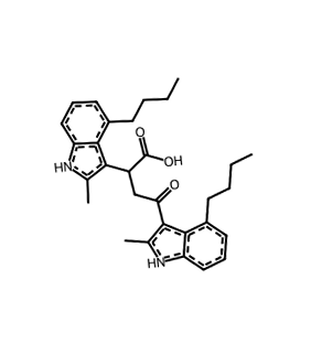 CCCCc1cccc2[nH]c(C)c(C(=O)CC(C(=O)O)c3c(C)[nH]c4cccc(CCCC)c34)c12